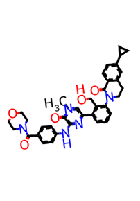 Cn1cc(-c2cccc(N3CCc4cc(C5CC5)ccc4C3=O)c2CO)nc(Nc2ccc(C(=O)N3CCOCC3)cc2)c1=O